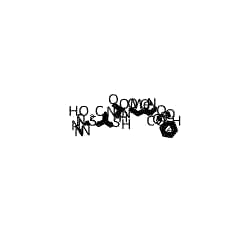 CO[C@@]1(NC(=O)Cc2onc(OS(=O)(=O)c3ccccc3)c2C(=O)O)C(=O)N2C(C(=O)O)=C(CSc3nnnn3C)CS[C@H]21